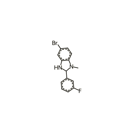 CN1c2ccc(Br)cc2NC1c1cccc(F)c1